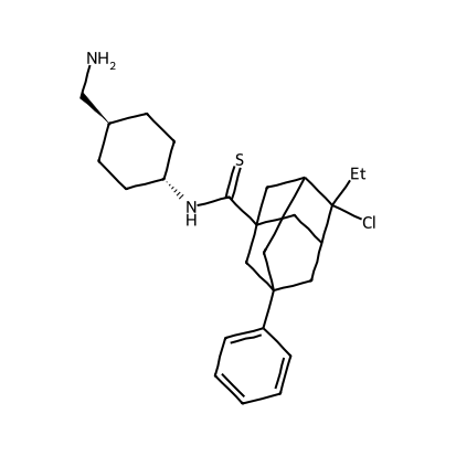 CCC1(Cl)C2CC3(C(=S)N[C@H]4CC[C@H](CN)CC4)CC1CC(c1ccccc1)(C2)C3